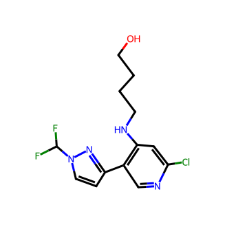 OCCCCNc1cc(Cl)ncc1-c1ccn(C(F)F)n1